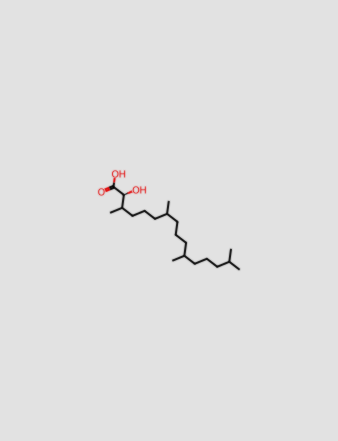 CC(C)CCCC(C)CCCC(C)CCCC(C)[C@H](O)C(=O)O